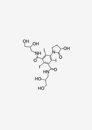 O=C(NCC(O)CO)c1c(I)c(C(=O)NCC(O)CO)c(I)c(N2CCC(O)C2=O)c1I